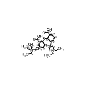 CC[N+](CC)(CC)CC.CC[N+](CC)(CC)CC.O=C(O)c1ccccc1Sc1ccccc1C(=O)O